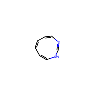 c1ccc[nH]cncc1